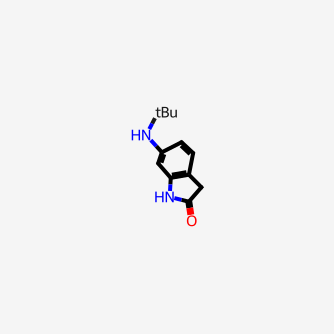 CC(C)(C)Nc1ccc2c(c1)NC(=O)C2